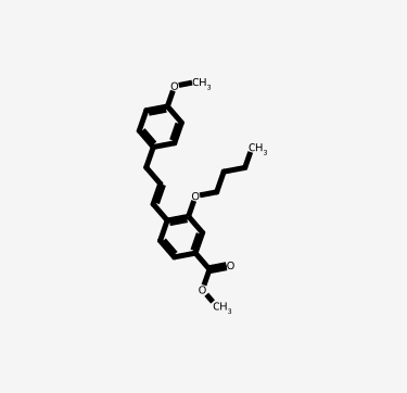 CCCCOc1cc(C(=O)OC)ccc1/C=C/Cc1ccc(OC)cc1